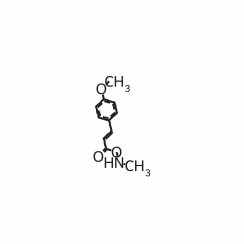 CNOC(=O)C=Cc1ccc(OC)cc1